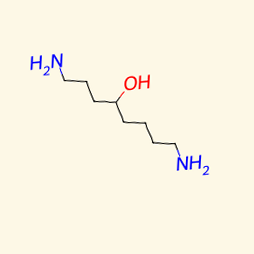 NCCCCC(O)CCCN